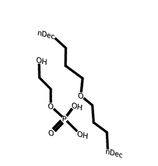 CCCCCCCCCCCCCOCCCCCCCCCCCCC.O=P(O)(O)OCCO